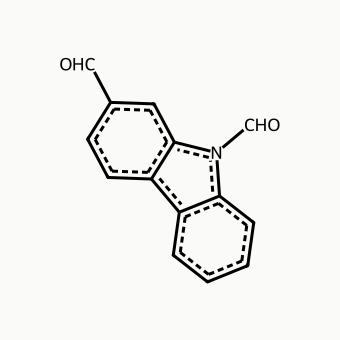 O=Cc1ccc2c3ccccc3n(C=O)c2c1